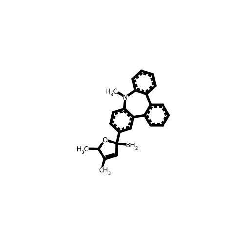 BC1(c2ccc3c(c2)-c2ccccc2-c2ccccc2N3C)C=C(C)C(C)O1